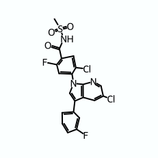 CS(=O)(=O)NC(=O)c1cc(Cl)c(-n2cc(-c3cccc(F)c3)c3cc(Cl)cnc32)cc1F